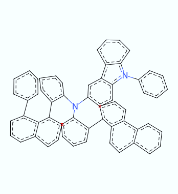 c1ccc(-c2cccc3cccc(-c4ccccc4N(c4ccc5c(c4)c4ccccc4n5-c4ccccc4)c4ccccc4-c4cccc5c4ccc4ccccc45)c23)cc1